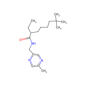 CCC(CCCCC(C)(C)C)C(=O)NCc1cnc(C)cn1